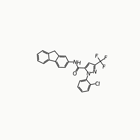 O=C(Nc1ccc2c(c1)Cc1ccccc1-2)c1cc(C(F)(F)F)nn1-c1ccccc1Cl